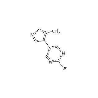 Cn1cncc1-c1cnc(Br)nc1